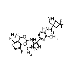 Cc1nc(-c2nnn(C)c2NC(=O)O[C@H](C)c2cc(F)cnc2F)ccc1NC(=O)C1(CN)CC(F)(F)C1